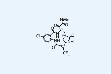 CNC(=O)C(=O)[C@H](C[C@@H]1CCNC1=O)NC(=O)c1cc(Cl)ccc1NC(=O)C1CC1C(F)(F)F